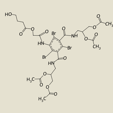 CC(=O)OCC(CNC(=O)c1c(Br)c(NC(=O)COC(=O)CCCO)c(Br)c(C(=O)NCC(COC(C)=O)OC(C)=O)c1Br)OC(C)=O